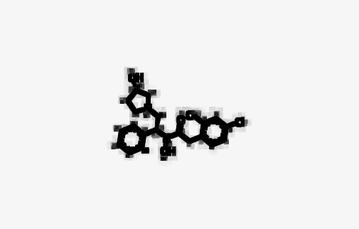 O=C(Cc1ccc(Cl)cc1Cl)N(O)[C@H](CN1CC[C@H](O)C1)c1ccccc1